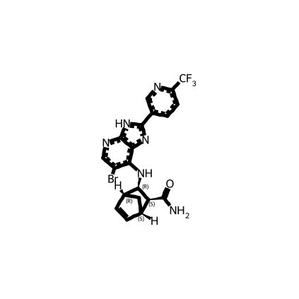 NC(=O)[C@@H]1[C@H](Nc2c(Br)cnc3[nH]c(-c4ccc(C(F)(F)F)nc4)nc23)[C@H]2C=C[C@@H]1C2